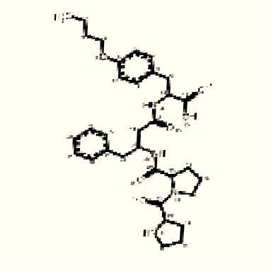 CCCCOc1ccc(CC(NC(=O)CC(Cc2ccccc2)NC(=O)C2CCCN2C(=O)C2CCCN2)C(=O)O)cc1